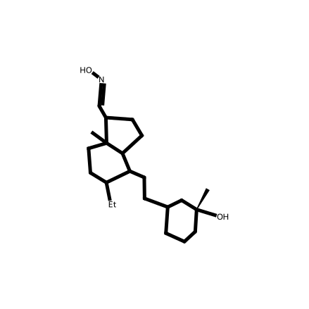 CCC1CCC2(C)C(/C=N/O)CCC2C1CCC1CCC[C@@](C)(O)C1